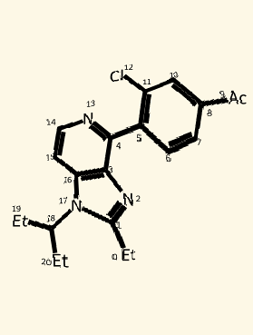 CCc1nc2c(-c3ccc(C(C)=O)cc3Cl)nccc2n1C(CC)CC